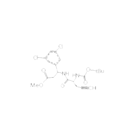 C#CC[C@H](NC(=O)OC(C)(C)C)C(=O)NC(CC(=O)OC)c1cc(Cl)cc(Cl)c1